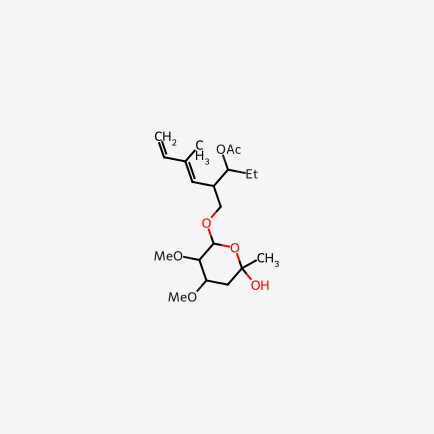 C=C/C(C)=C/C(COC1OC(C)(O)CC(OC)C1OC)C(CC)OC(C)=O